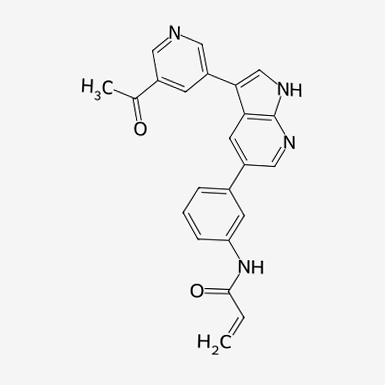 C=CC(=O)Nc1cccc(-c2cnc3[nH]cc(-c4cncc(C(C)=O)c4)c3c2)c1